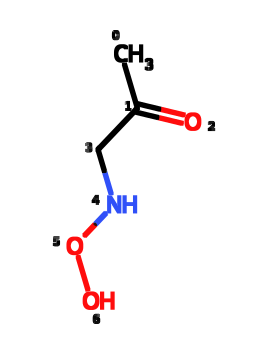 CC(=O)CNOO